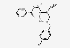 C[C@@H](OC(=O)c1ccccc1)[C@H]1CN[C@@H](Cc2ccc(Cl)cc2)CN1C.Cl.Cl